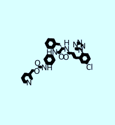 O=C(C=Cc1cc(Cl)ccc1-n1cnnn1)N[C@@H](Cc1ccccc1)C(=O)Nc1ccc(NC(=O)OCc2cccnc2)cc1